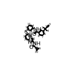 C#CC(C)(C)c1cccc(C(=O)Nc2cccc(Sc3ccc4nc(NC(=O)C5CC5)cn4n3)c2)c1